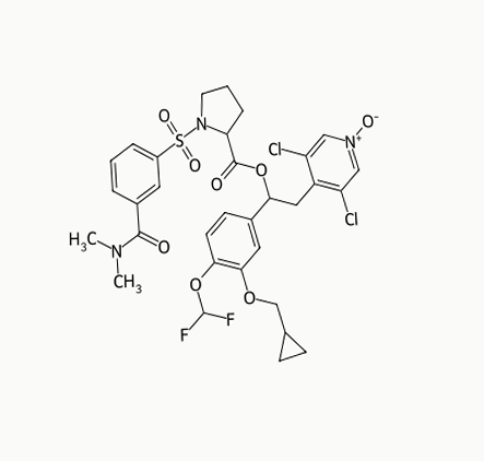 CN(C)C(=O)c1cccc(S(=O)(=O)N2CCCC2C(=O)OC(Cc2c(Cl)c[n+]([O-])cc2Cl)c2ccc(OC(F)F)c(OCC3CC3)c2)c1